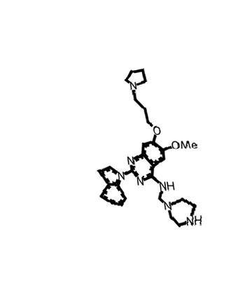 COc1cc2c(NCN3CCNCC3)nc(-n3ccc4ccccc43)nc2cc1OCCCN1CCCC1